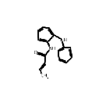 CC=CC(=O)Nc1ccccc1Nc1ccccc1